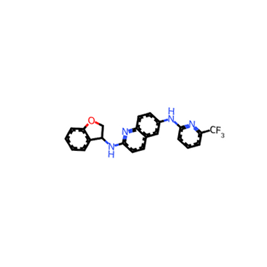 FC(F)(F)c1cccc(Nc2ccc3nc(NC4COc5ccccc54)ccc3c2)n1